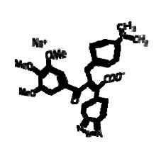 COc1cc(C(=O)C(Cc2ccc(N(C)C)cc2)=C(C(=O)[O-])c2ccc3nsnc3c2)cc(OC)c1OC.[Na+]